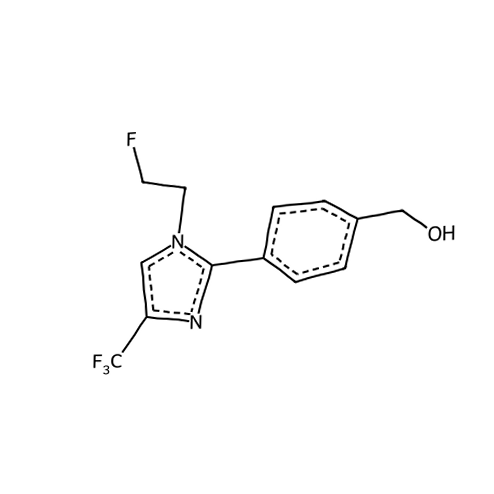 OCc1ccc(-c2nc(C(F)(F)F)cn2CCF)cc1